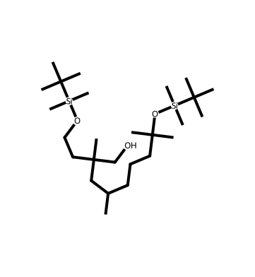 CC(CCCC(C)(C)O[Si](C)(C)C(C)(C)C)CC(C)(CO)CCO[Si](C)(C)C(C)(C)C